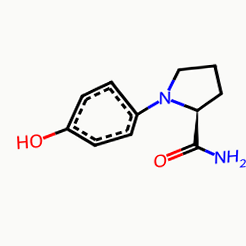 NC(=O)[C@@H]1CCCN1c1ccc(O)cc1